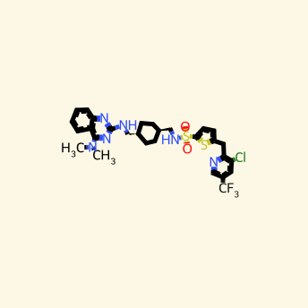 CN(C)c1nc(NC[C@H]2CC[C@H](CNS(=O)(=O)c3ccc(Cc4ncc(C(F)(F)F)cc4Cl)s3)CC2)nc2ccccc12